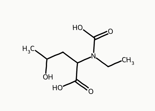 CCN(C(=O)O)C(CC(C)O)C(=O)O